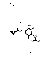 CCCC(=O)N[C@H]1C(C)O[C@H](COC(=O)C2CC2)[C@@H](O)[C@@H]1O